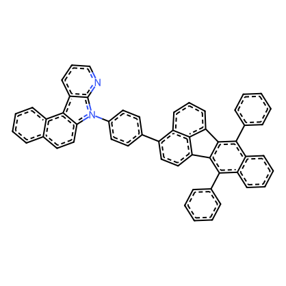 c1ccc(-c2c3c(c(-c4ccccc4)c4ccccc24)-c2ccc(-c4ccc(-n5c6ccc7ccccc7c6c6cccnc65)cc4)c4cccc-3c24)cc1